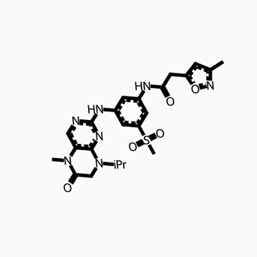 Cc1cc(CC(=O)Nc2cc(Nc3ncc4c(n3)N(C(C)C)CC(=O)N4C)cc(S(C)(=O)=O)c2)on1